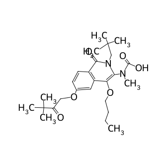 CCCCOc1c(N(C)C(=O)O)n(CC(C)(C)C)c(=O)c2ccc(OCC(=O)C(C)(C)C)cc12